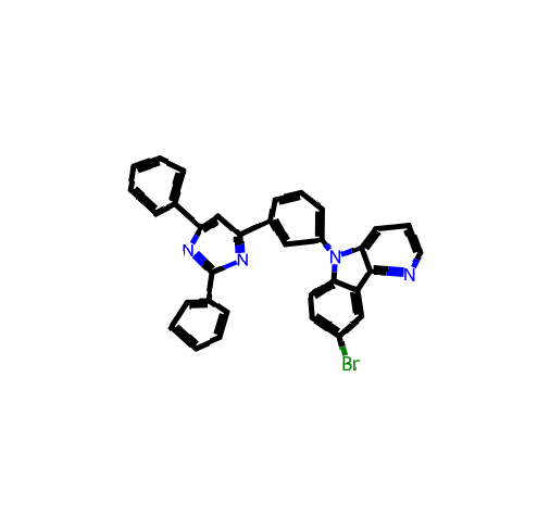 Brc1ccc2c(c1)c1ncccc1n2-c1cccc(-c2cc(-c3ccccc3)nc(-c3ccccc3)n2)c1